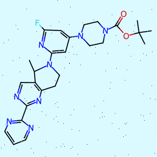 CC1c2cnc(-c3ncccn3)nc2CCN1c1cc(N2CCN(C(=O)OC(C)(C)C)CC2)cc(F)n1